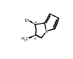 CC[C@H]1c2cccn2C[C@H]1C